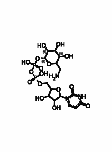 NCC1O[C@H](OP(=O)(O)OP(=O)(O)OCC2OC(n3ccc(=O)[nH]c3=O)C(O)C2O)[C@@H](O)C(O)[C@H]1O